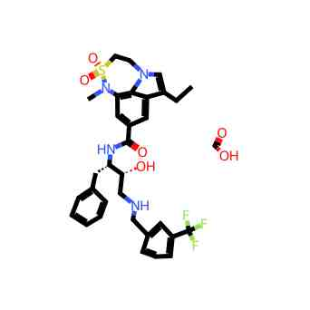 CCc1cn2c3c(cc(C(=O)N[C@@H](Cc4ccccc4)[C@H](O)CNCc4cccc(C(F)(F)F)c4)cc13)N(C)S(=O)(=O)CC2.O=CO